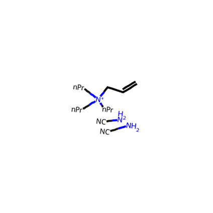 C=CC[N+](CCC)(CCC)CCC.N#CN.N#CN